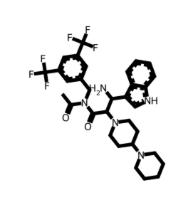 CC(=O)N(Cc1cc(C(F)(F)F)cc(C(F)(F)F)c1)C(=O)C(C(N)c1c[nH]c2ccccc12)N1CCC(N2CCCCC2)CC1